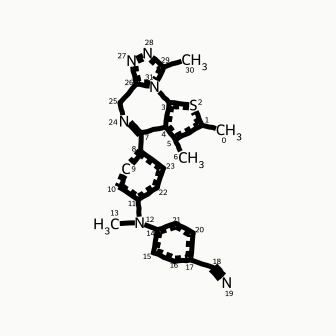 Cc1sc2c(c1C)C(c1ccc(N(C)c3ccc(C#N)cc3)cc1)=NCc1nnc(C)n1-2